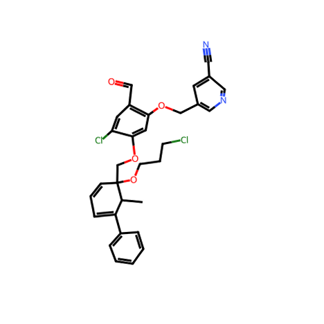 CC1C(c2ccccc2)=CC=CC1(COc1cc(OCc2cncc(C#N)c2)c(C=O)cc1Cl)OCCCCl